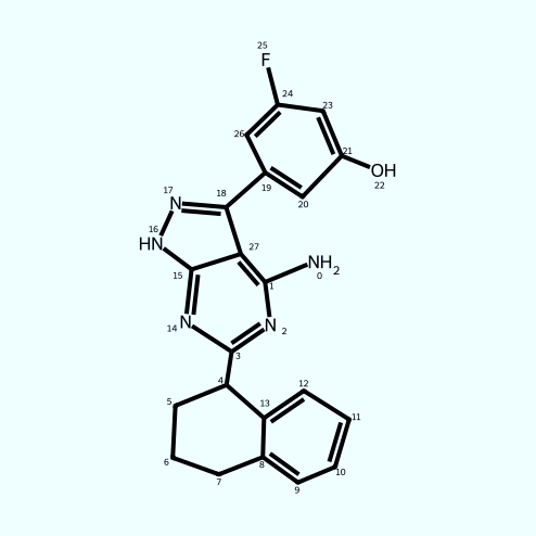 Nc1nc(C2CCCc3ccccc32)nc2[nH]nc(-c3cc(O)cc(F)c3)c12